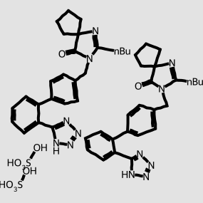 CCCCC1=NC2(CCCC2)C(=O)N1Cc1ccc(-c2ccccc2-c2nnn[nH]2)cc1.CCCCC1=NC2(CCCC2)C(=O)N1Cc1ccc(-c2ccccc2-c2nnn[nH]2)cc1.O=S(=O)(O)O.O=S(=O)(O)O